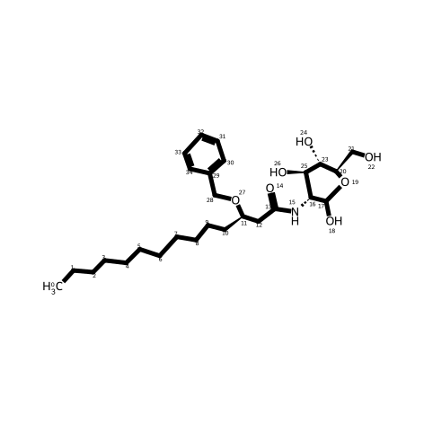 CCCCCCCCCCC[C@H](CC(=O)N[C@H]1C(O)O[C@H](CO)[C@@H](O)[C@@H]1O)OCc1ccccc1